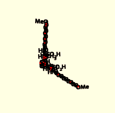 COCCOCCOCCOCCOCCOCCOCCOCCOCCOCC(=O)NCCCC[C@H](NC(=O)CCCNC(=O)[C@H]([C@@H](C(=O)NCCCC(=O)N[C@@H](CCCCNC(=O)COCCOCCOCCOCCOCCOCCOCCOCCOCCOC)C(=O)N[C@@H](C)C(=O)O)N1C(=O)C=CC1=O)N1C(=O)C=CC1=O)C(=O)N[C@@H](C)C(=O)O